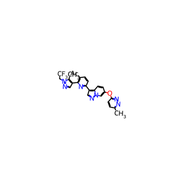 CC(=O)c1ccc(-c2cnn3cc(Oc4ccc(C)nn4)ccc23)nc1-c1cnn(CC(F)(F)F)c1C